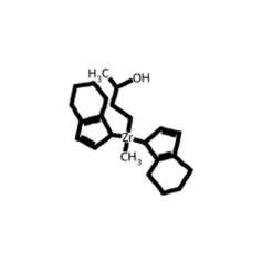 CC(O)C[CH2][Zr]([CH3])([CH]1C=CC2=C1CCCC2)[CH]1C=CC2=C1CCCC2